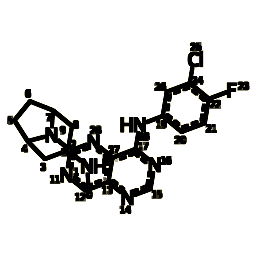 CNC1CC2CCC(C1)N2c1ncc2ncnc(Nc3ccc(F)c(Cl)c3)c2n1